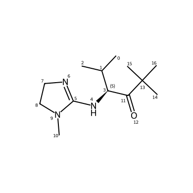 CC(C)[C@H](NC1=NCCN1C)C(=O)C(C)(C)C